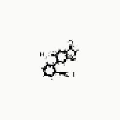 C#Cc1ccccc1-c1cc2c(cc1C)C(=O)CS2